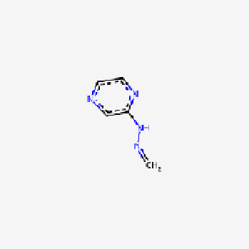 C=NNc1cnccn1